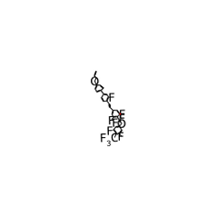 C=CCOc1ccc(-c2ccc(C#Cc3cc(F)c(C(F)(F)Oc4cc(F)c(C(F)(F)F)c(F)c4)c(F)c3)c(F)c2)cc1